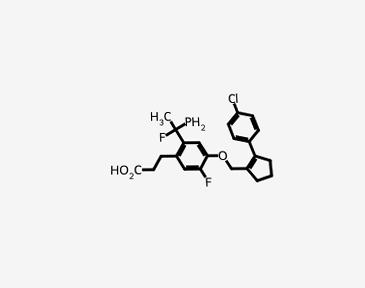 CC(F)(P)c1cc(OCC2=C(c3ccc(Cl)cc3)CCC2)c(F)cc1CCC(=O)O